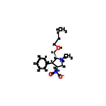 CCCCOC[C@H]1[C@H](c2ccccc2)[C@@H]([N+](=O)[O-])CN1C